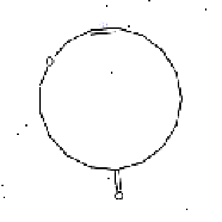 O=C1CCCCCCC/C=C\COCCCCC1